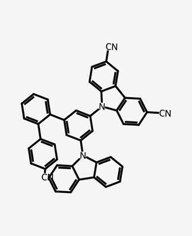 N#Cc1ccc(-c2ccccc2-c2cc(-n3c4ccccc4c4ccccc43)cc(-n3c4ccc(C#N)cc4c4cc(C#N)ccc43)c2)cc1